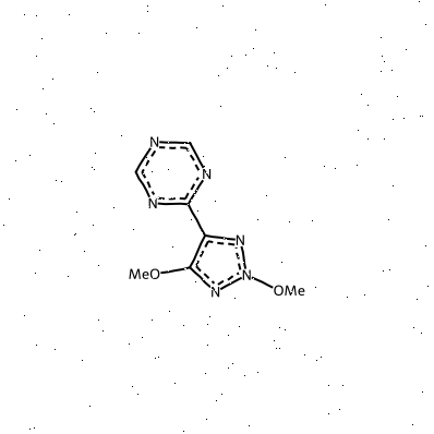 COc1nn(OC)nc1-c1ncncn1